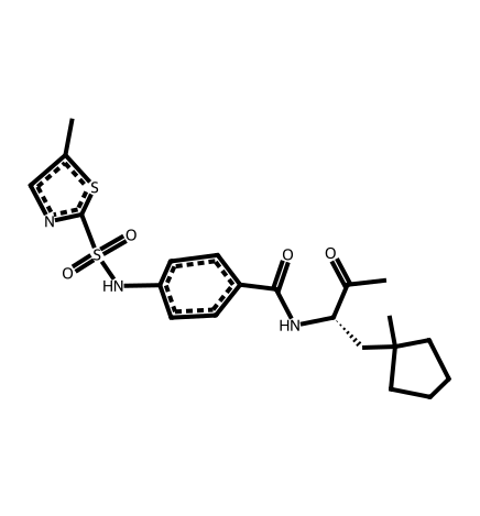 CC(=O)[C@H](CC1(C)CCCC1)NC(=O)c1ccc(NS(=O)(=O)c2ncc(C)s2)cc1